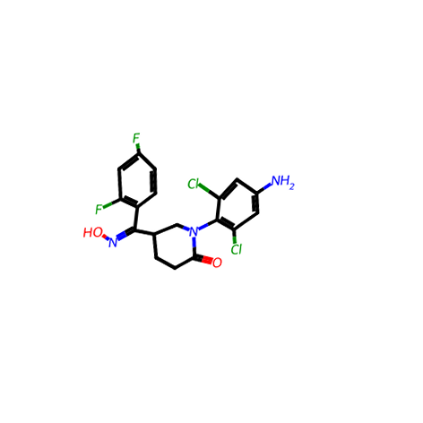 Nc1cc(Cl)c(N2CC(C(=NO)c3ccc(F)cc3F)CCC2=O)c(Cl)c1